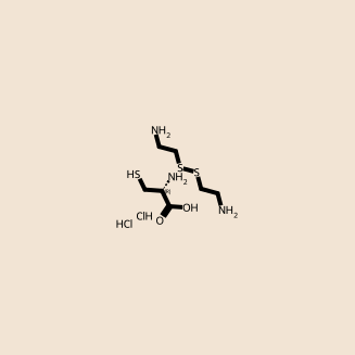 Cl.Cl.NCCSSCCN.N[C@@H](CS)C(=O)O